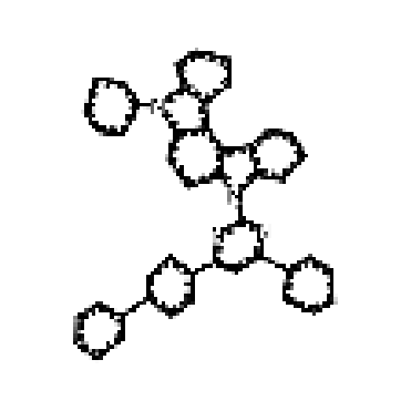 c1ccc(-c2ccc(-c3cc(-c4ccccc4)nc(-n4c5ccccc5c5c6c7ccccc7n(-c7ccccc7)c6ccc54)n3)cc2)cc1